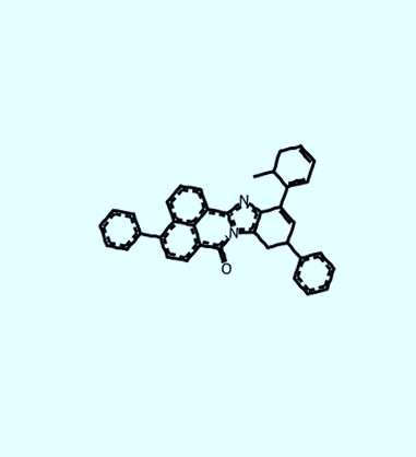 CC1CC=CC=C1C1=CC(c2ccccc2)Cc2c1nc1c3cccc4c(-c5ccccc5)ccc(c(=O)n21)c43